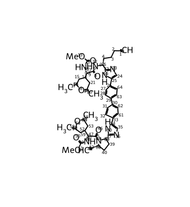 C#CCCC[C@H](NC(=O)[C@@H](NC(=O)OC)C1C[C@@H](C)O[C@H](C)C1)c1ncc(-c2ccc(-c3ccc(-c4cnc([C@@H]5CC[C@@H](C#C)N5C(=O)[C@@H](NC(=O)OC)C5C[C@@H](C)O[C@H](C)C5)[nH]4)cc3)cc2)[nH]1